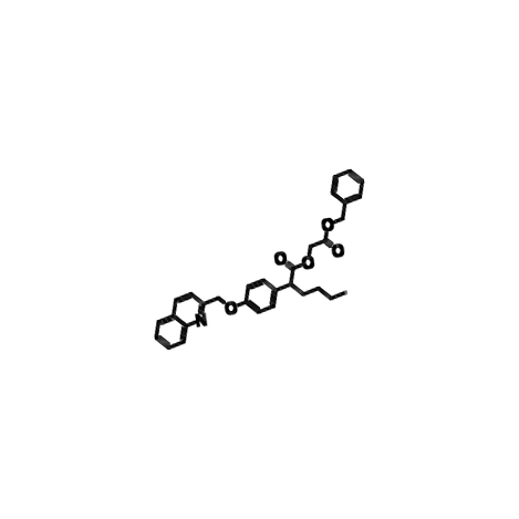 CCCCC(C(=O)OCC(=O)OCc1ccccc1)c1ccc(OCc2ccc3ccccc3n2)cc1